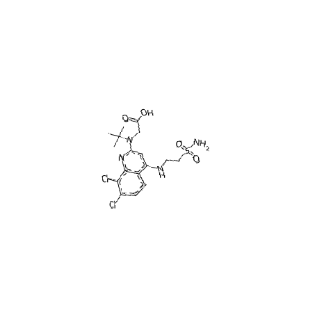 CC(C)(C)N(CC(=O)O)c1cc(NCCS(N)(=O)=O)c2ccc(Cl)c(Cl)c2n1